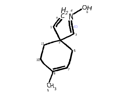 C=CC1(/C=N/O)CC=C(C)CC1